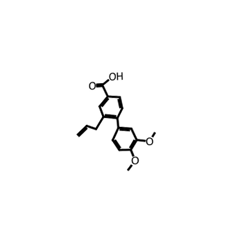 C=CCc1cc(C(=O)O)ccc1-c1ccc(OC)c(OC)c1